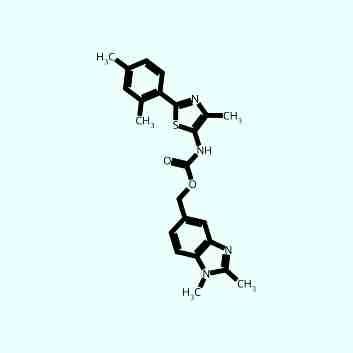 Cc1ccc(-c2nc(C)c(NC(=O)OCc3ccc4c(c3)nc(C)n4C)s2)c(C)c1